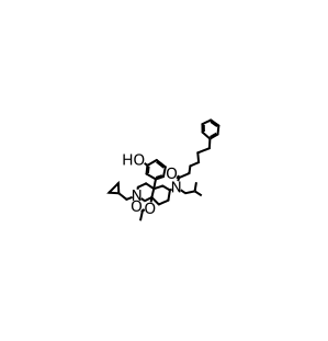 CC(=O)OC12CCC(N(CC(C)C)C(=O)CCCCCc3ccccc3)CC1(c1cccc(O)c1)CCN(CC1CC1)C2